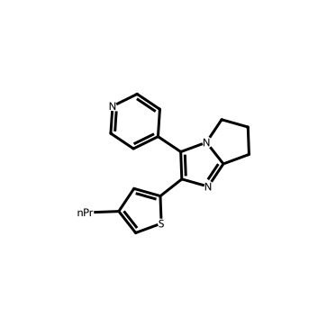 CCCc1csc(-c2nc3n(c2-c2ccncc2)CCC3)c1